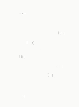 CC1(C)CC(C)(c2c[nH]c3ccc(O)cc23)c2[nH]c3ccc(O)cc3c21